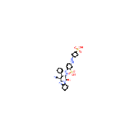 N#CC1=C(c2ccccc2)/C(=N\Nc2ccc(/N=N/c3ccc(S(=O)(=O)O)cc3)cc2S(=O)(=O)O)C(=O)n2c1nc1ccccc12